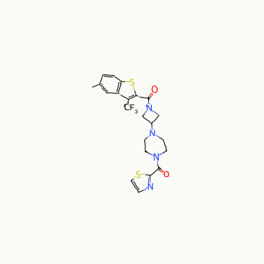 Cc1ccc2sc(C(=O)N3CC(N4CCN(C(=O)c5nccs5)CC4)C3)c(C(F)(F)F)c2c1